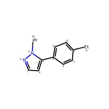 CCc1ccc(-c2ccnn2C(C)C)cc1